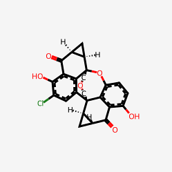 O=C1c2c(O)ccc3c2[C@]2(COC[C@@]4(O3)c3c2cc(Cl)c(O)c3C(=O)[C@H]2C[C@H]24)[C@@H]2C[C@H]12